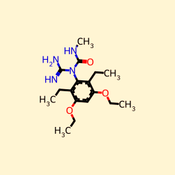 CCOc1cc(OCC)c(CC)c(N(C(=N)N)C(=O)NC)c1CC